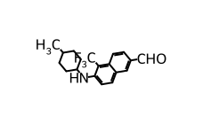 CC1CCC(Nc2ccc3cc(C=O)ccc3c2C(F)(F)F)CC1